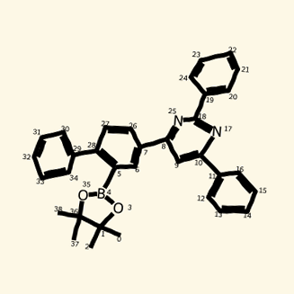 CC1(C)OB(c2cc(-c3cc(-c4ccccc4)nc(-c4ccccc4)n3)ccc2-c2ccccc2)OC1(C)C